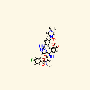 CN1CCN(C(=O)c2ccc(Nc3nccc(C(NC(=O)[C@@H]4CCCN4S(=O)(=O)c4ccc(F)cc4)c4ccc5c(c4)OCO5)n3)cc2)CC1